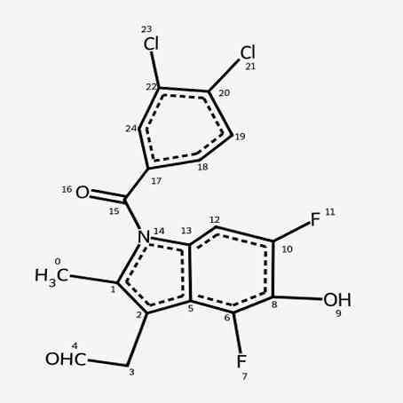 Cc1c(CC=O)c2c(F)c(O)c(F)cc2n1C(=O)c1ccc(Cl)c(Cl)c1